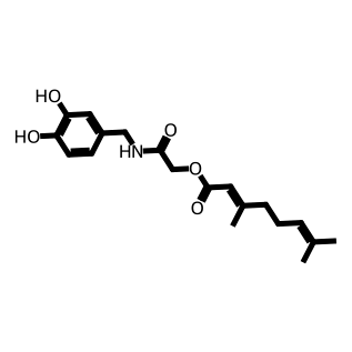 CC(C)=CCC/C(C)=C/C(=O)OCC(=O)NCc1ccc(O)c(O)c1